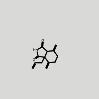 C=CCC12C(=C)CCC(=C)C1C(=O)NC2=O